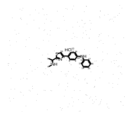 CNC(C)c1nc(-c2ccc(Nc3ccccc3)cc2)cs1.Cl